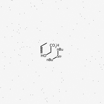 C=CC.CCC[CH2][Sn][CH2]CCC.O=C(O)CO